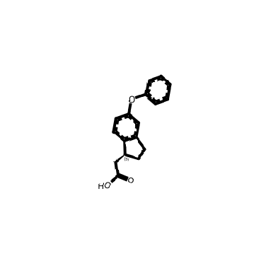 O=C(O)C[C@@H]1CCc2cc(Oc3ccccc3)ccc21